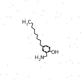 CCCCCCCCCc1ccc(O)c(CN)c1